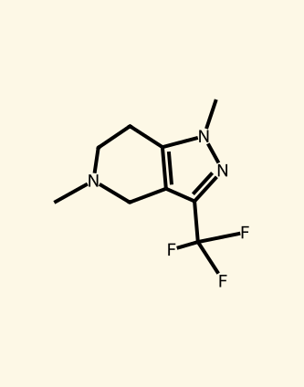 CN1CCc2c(c(C(F)(F)F)nn2C)C1